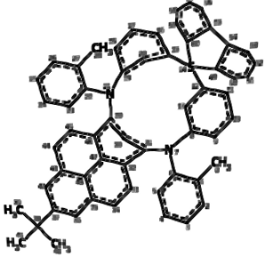 Cc1ccccc1N1c2cccc(c2)S2(c3cccc(c3)N(c3ccccc3C)c3cc1c1ccc4cc(C(C)(C)C)cc5ccc3c1c45)c1ccccc1-c1ccccc12